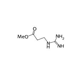 COC(=O)CCNC(=N)N